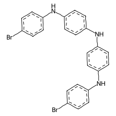 Brc1ccc(Nc2ccc(Nc3ccc(Nc4ccc(Br)cc4)cc3)cc2)cc1